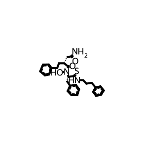 NC(=O)C[C@@H](CCc1ccccc1)C(=O)N(O)[C@@H](Cc1ccccc1)C(=S)NCCCc1ccccc1